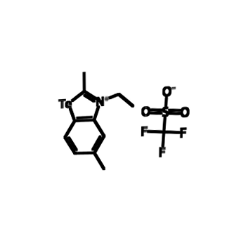 CC[n+]1c(C)[te]c2ccc(C)cc21.O=S(=O)([O-])C(F)(F)F